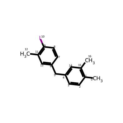 Cc1ccc(Cc2ccc(I)c(C)c2)cc1C